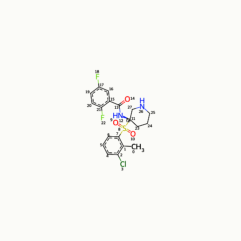 Cc1c(Cl)cccc1S(=O)(=O)[C@@]1(NC(=O)c2cc(F)ccc2F)CCCNC1